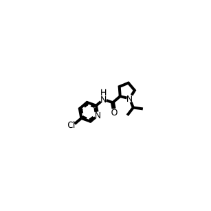 CC(C)N1CCCC1C(=O)Nc1ccc(Cl)cn1